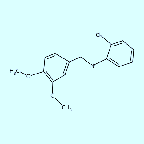 COc1ccc(C[N]c2ccccc2Cl)cc1OC